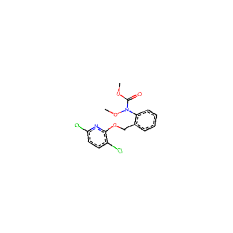 COC(=O)N(OC)c1ccccc1COc1nc(Cl)ccc1Cl